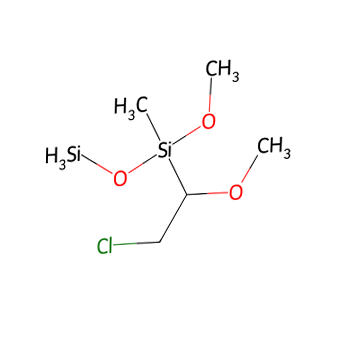 COC(CCl)[Si](C)(OC)O[SiH3]